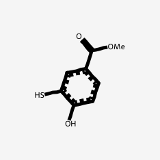 COC(=O)c1ccc(O)c(S)c1